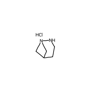 C1CC2CN(C2)N1.Cl